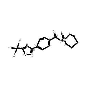 O=C(N=S1(=O)CCCCC1)c1ccc(-c2noc(C(F)(F)F)n2)cc1